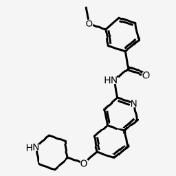 COc1cccc(C(=O)Nc2cc3cc(OC4CCNCC4)ccc3cn2)c1